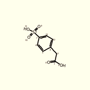 O=C(O)Cc1ccc(S(=O)(=O)O)cc1